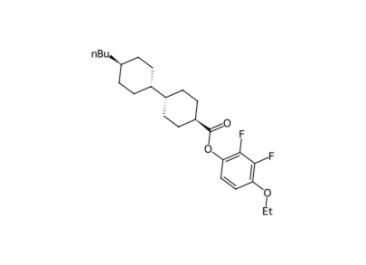 CCCC[C@H]1CC[C@H]([C@H]2CC[C@H](C(=O)Oc3ccc(OCC)c(F)c3F)CC2)CC1